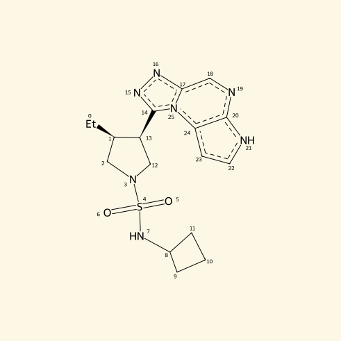 CC[C@@H]1CN(S(=O)(=O)NC2CCC2)C[C@@H]1c1nnc2cnc3[nH]ccc3n12